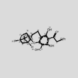 CC(C)CC(=O)c1c(O)c(C=O)c2c(c1O)CC[C@@]1(CC[C@H]3C[C@@H]1C3(C)C)O2